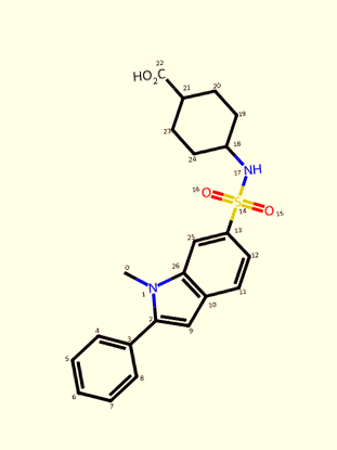 Cn1c(-c2ccccc2)cc2ccc(S(=O)(=O)NC3CCC(C(=O)O)CC3)cc21